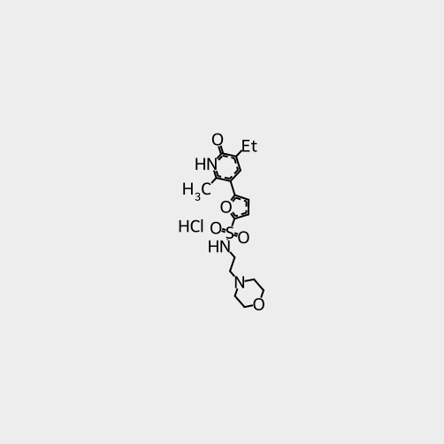 CCc1cc(-c2ccc(S(=O)(=O)NCCN3CCOCC3)o2)c(C)[nH]c1=O.Cl